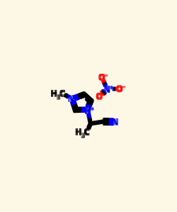 CC(C#N)[n+]1ccn(C)c1.O=[N+]([O-])[O-]